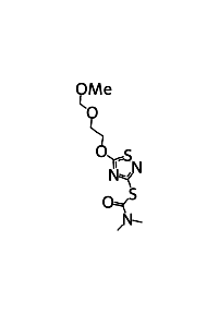 COCOCCOc1nc(SC(=O)N(C)C)ns1